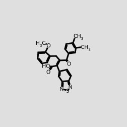 COc1ccccc1C/C(C(=O)c1ccc(C)c(C)c1)=C(\C(=O)O)c1ccc2nsnc2c1